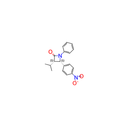 CC(C)[C@@H]1C(=O)N(c2ccccc2)[C@@H]1c1ccc([N+](=O)[O-])cc1